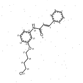 O=C(C=Cc1ccccc1)Nc1cccc(OCCCCCl)c1